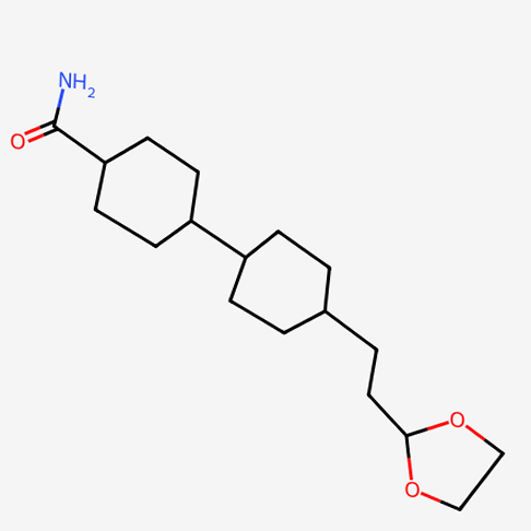 NC(=O)C1CCC(C2CCC(CCC3OCCO3)CC2)CC1